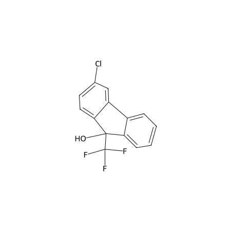 OC1(C(F)(F)F)c2ccccc2-c2cc(Cl)ccc21